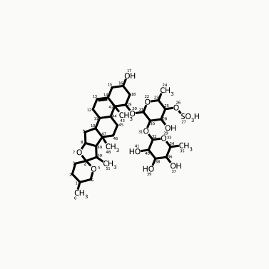 CC1CCC2(OC1)OC1CC3C4CC=C5CC(O)CC(OC6OC(C)C(OS(=O)(=O)O)C(O)C6OC6OC(C)C(O)C(O)C6O)C5(C)C4CCC3(C)C1C2C